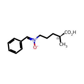 C[C@@H](CCC[N+]([O-])=Cc1ccccc1)C(=O)O